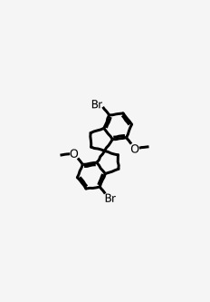 COc1ccc(Br)c2c1C1(CC2)CCc2c(Br)ccc(OC)c21